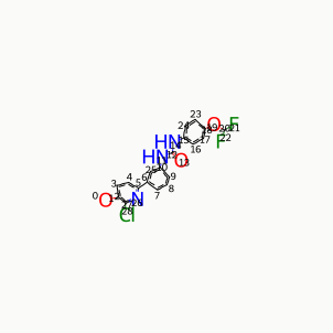 COc1ccc(-c2cccc(NC(=O)Nc3ccc(OC(F)F)cc3)c2)nc1Cl